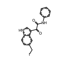 O=C(Nc1ccccc1)C(=O)c1c[nH]c2ccc(CI)cc12